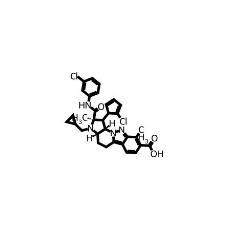 Cc1c(C(=O)O)ccc2c3n(nc12)[C@H]1C(C2C=CC=C2Cl)[C@](C)(C(=O)Nc2cccc(Cl)c2)N(CC2CC2)[C@H]1CC3